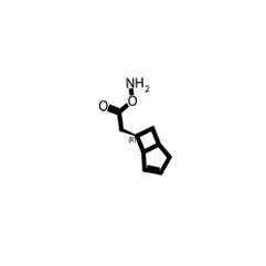 NOC(=O)C[C@H]1CC2CC=CC21